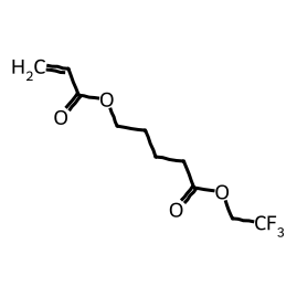 C=CC(=O)OCCCCC(=O)OCC(F)(F)F